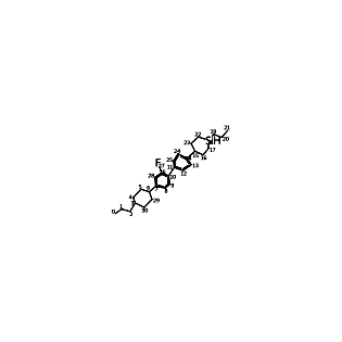 CCCC1CCC(c2ccc(-c3ccc(C4CC[SiH](CCC)CC4)cc3)c(F)c2)CC1